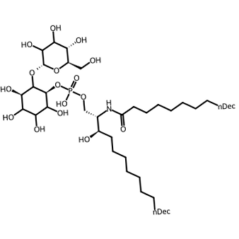 CCCCCCCCCCCCCCCCCC(=O)N[C@@H](COP(=O)(O)O[C@H]1C(O)C(O)C(O)[C@@H](O)C1O[C@H]1O[C@H](CO)[C@@H](O)C(O)C1O)[C@H](O)CCCCCCCCCCCCCCCCC